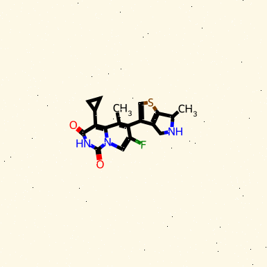 Cc1c(-c2csc3c2CNC3C)c(F)cn2c(=O)[nH]c(=O)c(C3CC3)c12